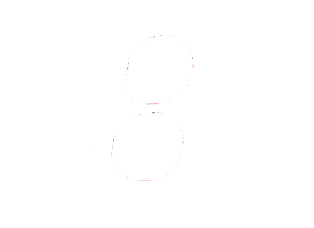 C1COCCOCCOCCOCCO1.C1COCCOCCOCCOCCO1.O